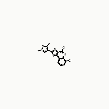 Cc1nn(C)cc1-c1nc2c3cccc(Cl)c3nc(Cl)n2n1